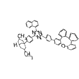 CC1C[C@H]2C[C@@H](C)CC(c3ccc(-c4nc(-c5ccc(-c6ccc7oc8ccccc8c8ccccc8c8ccccc8c7c6)cc5)nc(-c5cccc6ccccc56)n4)cc3)(C1)C2